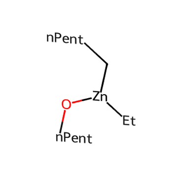 CCCCC[CH2][Zn]([CH2]C)[O]CCCCC